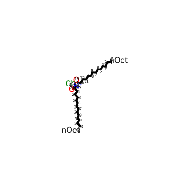 CCCCCCCCC=CCCCCCCCCCCCC(=O)[N+](C)(C)C(=O)CCCCCCCCCCCC=CCCCCCCCC.[Cl-]